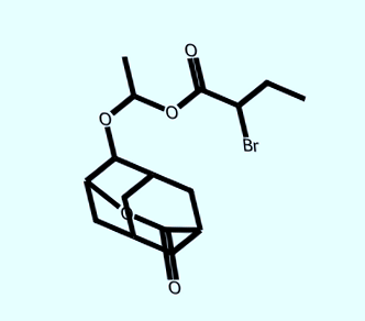 CCC(Br)C(=O)OC(C)OC1C2CC3CC(C2)C(=O)OC1C3